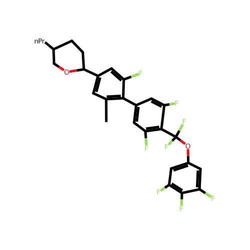 CCCC1CCC(c2cc(C)c(-c3cc(F)c(C(F)(F)Oc4cc(F)c(F)c(F)c4)c(F)c3)c(F)c2)OC1